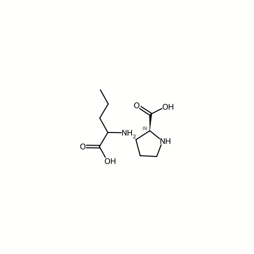 CCCC(N)C(=O)O.O=C(O)[C@@H]1CCCN1